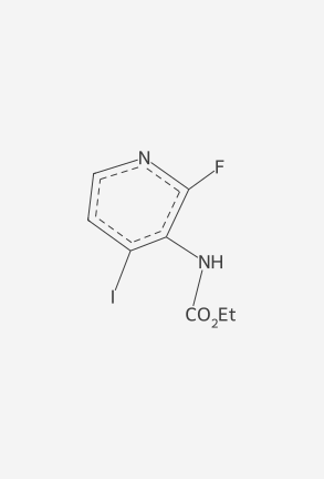 CCOC(=O)Nc1c(I)ccnc1F